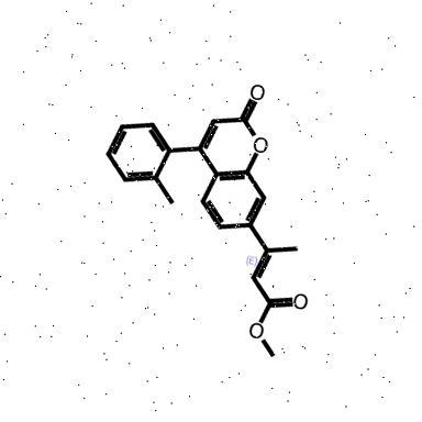 COC(=O)/C=C(\C)c1ccc2c(-c3ccccc3C)cc(=O)oc2c1